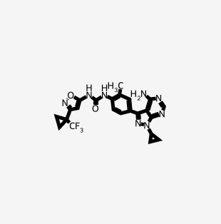 Cc1cc(-c2nn(C3CC3)c3ncnc(N)c23)ccc1NC(=O)Nc1cc(C2(C(F)(F)F)CC2)no1